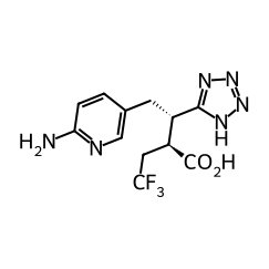 Nc1ccc(C[C@H](c2nnn[nH]2)[C@H](CC(F)(F)F)C(=O)O)cn1